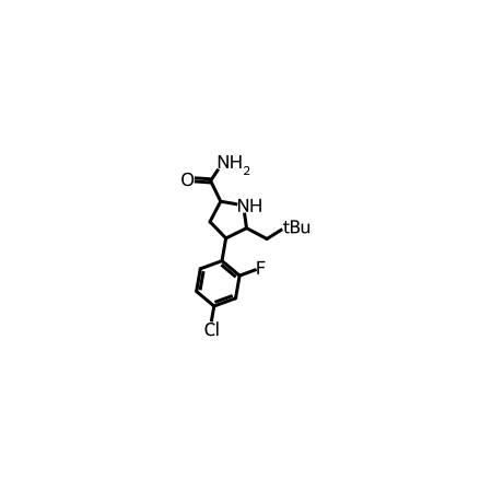 CC(C)(C)CC1NC(C(N)=O)CC1c1ccc(Cl)cc1F